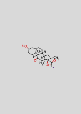 C[C@@H]1C[C@H]2[C@@H]3CCC4C[C@H](O)CC[C@]4(C)[C@H]3C(=O)C[C@]2(C)[C@@]1(O)C(=O)CI